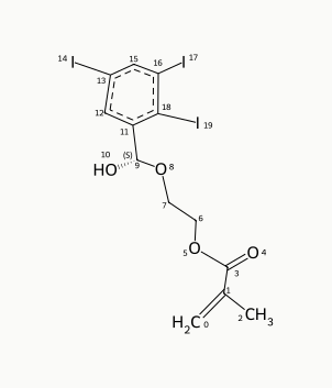 C=C(C)C(=O)OCCO[C@H](O)c1cc(I)cc(I)c1I